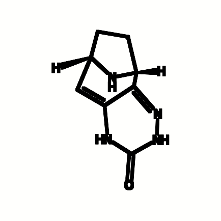 O=C1NN=C2C(=C[C@@H]3CC[C@H]2N3)N1